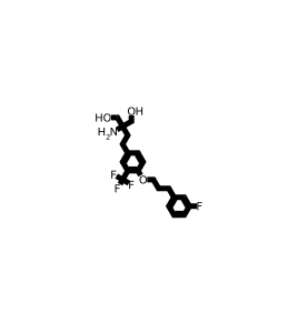 NC(CO)(CO)CCc1ccc(OCCCc2cccc(F)c2)c(C(F)(F)F)c1